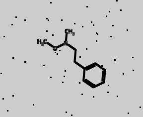 CON(C)CCc1ccccc1